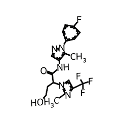 Cc1nc(C(F)(F)F)cn1C(CCO)C(=O)Nc1cnn(-c2ccc(F)cc2)c1C